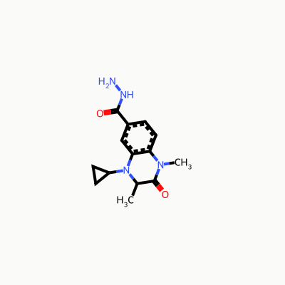 CC1C(=O)N(C)c2ccc(C(=O)NN)cc2N1C1CC1